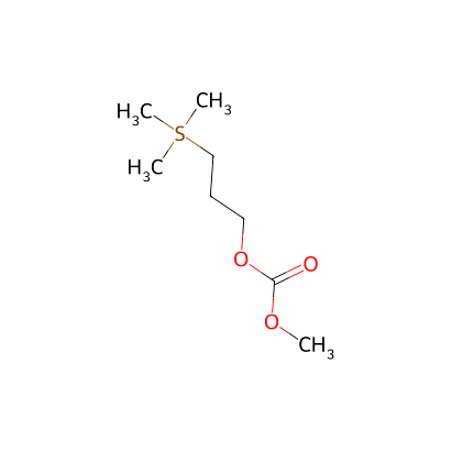 COC(=O)OCCCS(C)(C)C